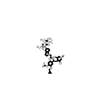 CC(C)(C)OC(=O)N(c1ccc2c(ccn2CC(=O)OC(Cc2c(Cl)c[n+]([O-])cc2Cl)c2ccc(OC(F)F)c(OCC3CC3)c2)c1)S(C)(=O)=O